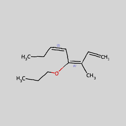 C=C/C(C)=C(\C=C/CC)OCCC